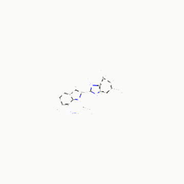 CCC1CNc2c(Cl)ccc3cc(-c4nc5cc(C=O)cc(F)c5n4C)n1c23